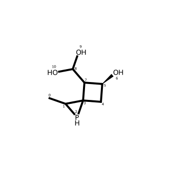 CC1PC12C[C@H](O)C2C(O)O